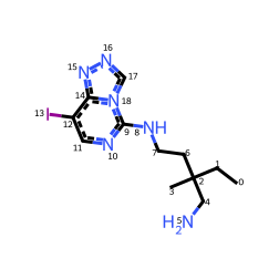 CCC(C)(CN)CCNc1ncc(I)c2nncn12